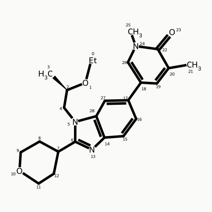 CCO[C@H](C)Cn1c(C2CCOCC2)nc2ccc(-c3cc(C)c(=O)n(C)c3)cc21